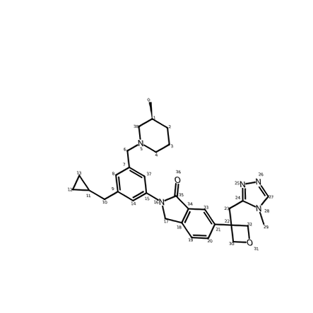 C[C@H]1CCCN(Cc2cc(CC3CC3)cc(N3Cc4ccc(C5(Cc6nncn6C)COC5)cc4C3=O)c2)C1